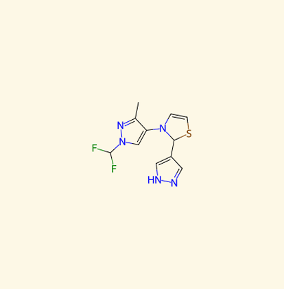 Cc1nn(C(F)F)cc1N1C=CSC1c1cn[nH]c1